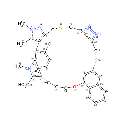 Cc1c2c(nn1C)CSCc1cc([nH]n1)CSc1cc(c3ccccc3c1)OCCCc1c(C(=O)O)n(C)c3c-2c(Cl)ccc13